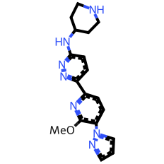 COc1nc(-c2ccc(NC3CCNCC3)nn2)ccc1-n1cccn1